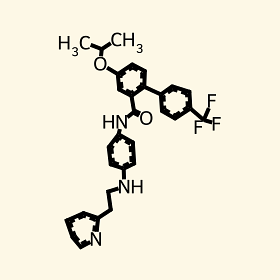 CC(C)Oc1ccc(-c2ccc(C(F)(F)F)cc2)c(C(=O)Nc2ccc(NCCc3ccccn3)cc2)c1